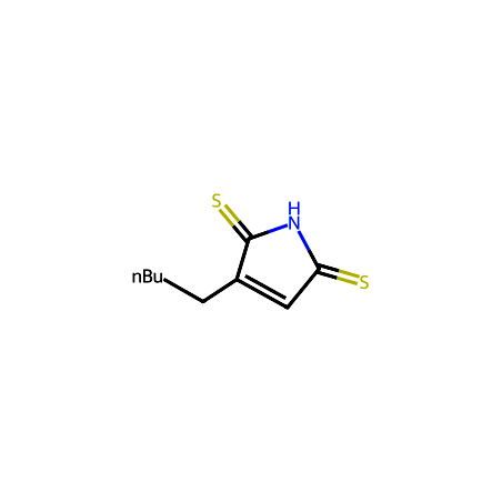 CCCCCC1=CC(=S)NC1=S